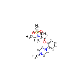 CCN(C(C)(C)COc1ccccc1N1CCN(C)CC1)S(C)(=O)=O